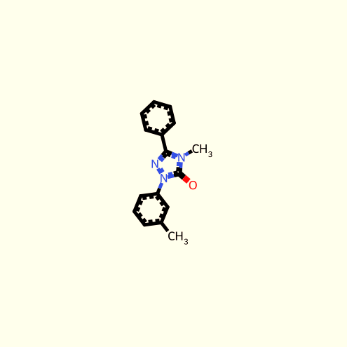 Cc1cccc(-n2nc(-c3ccccc3)n(C)c2=O)c1